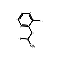 CC(I)Cc1ccccc1I